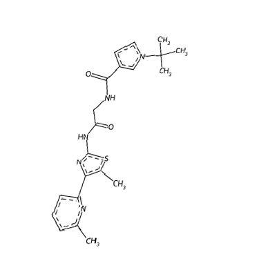 Cc1cccc(-c2nc(NC(=O)CNC(=O)c3ccn(C(C)(C)C)c3)sc2C)n1